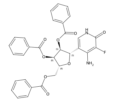 Nc1c([C@@H]2O[C@H](COC(=O)c3ccccc3)[C@@H](OC(=O)c3ccccc3)[C@H]2OC(=O)c2ccccc2)c[nH]c(=O)c1F